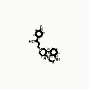 OC(CCN1CC[C@H]2[C@@H](C1)c1cccc3c1N2CCN3)c1ccc(F)cc1